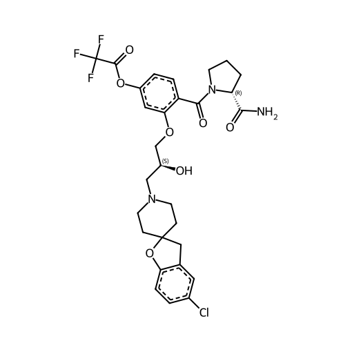 NC(=O)[C@H]1CCCN1C(=O)c1ccc(OC(=O)C(F)(F)F)cc1OC[C@@H](O)CN1CCC2(CC1)Cc1cc(Cl)ccc1O2